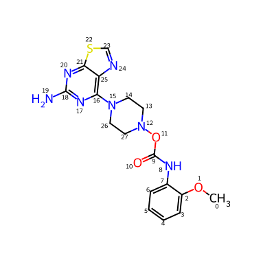 COc1ccccc1NC(=O)ON1CCN(c2nc(N)nc3scnc23)CC1